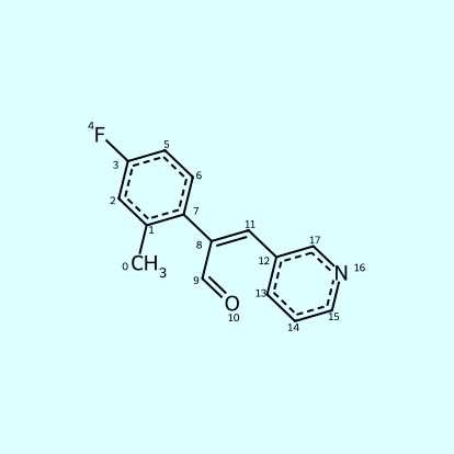 Cc1cc(F)ccc1C(C=O)=Cc1cccnc1